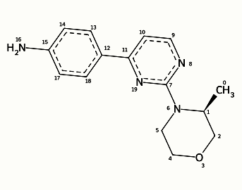 C[C@H]1COCCN1c1nccc(-c2ccc(N)cc2)n1